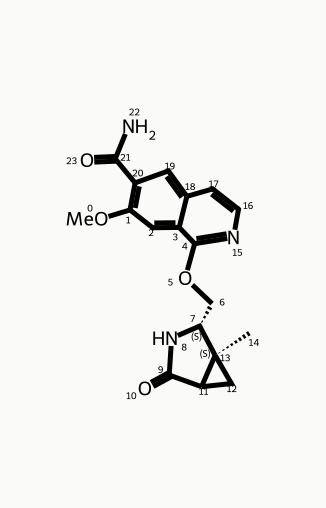 COc1cc2c(OC[C@H]3NC(=O)C4C[C@@]43C)nccc2cc1C(N)=O